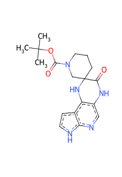 CC(C)(C)OC(=O)N1CCCC2(C1)Nc1c(cnc3[nH]ccc13)NC2=O